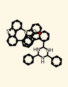 c1ccc(C2NC(c3ccccc3)NC(c3cccc4oc5cc(-c6cccc7sc8cccc(-n9c%10ccccc%10c%10ccccc%109)c8c67)ccc5c34)N2)cc1